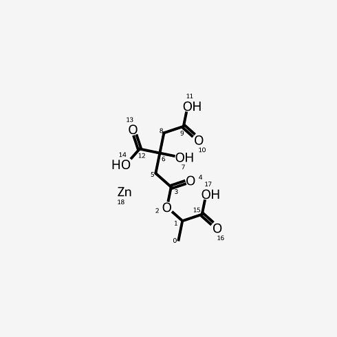 CC(OC(=O)CC(O)(CC(=O)O)C(=O)O)C(=O)O.[Zn]